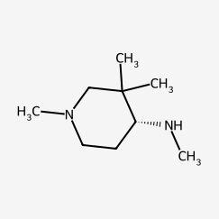 CN[C@@H]1CCN(C)CC1(C)C